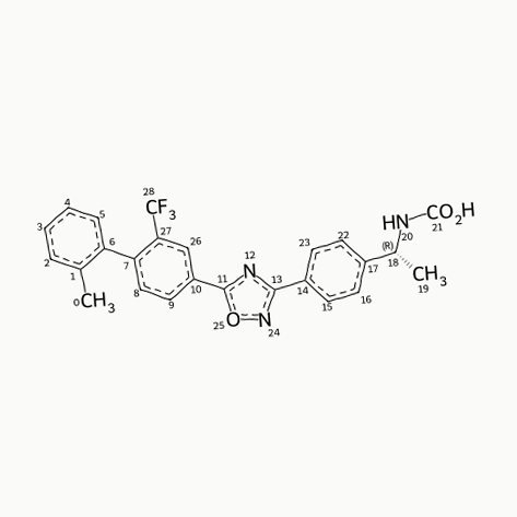 Cc1ccccc1-c1ccc(-c2nc(-c3ccc([C@@H](C)NC(=O)O)cc3)no2)cc1C(F)(F)F